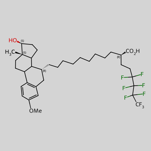 COc1ccc2c(c1)C[C@@H](CCCCCCCCC[C@H](CCC(F)(F)C(F)(F)C(F)(F)C(F)(F)F)C(=O)O)C1C2CC[C@@]2(C)C1CC[C@@H]2O